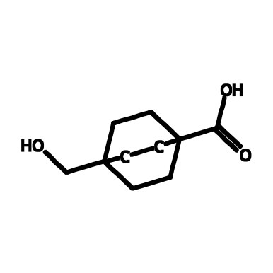 O=C(O)C12CCC(CO)(CC1)CC2